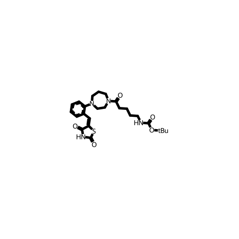 CC(C)(C)OC(=O)NCCCCC(=O)N1CCCN(c2ccccc2/C=C2/SC(=O)NC2=O)CC1